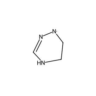 C1=N[N]CCN1